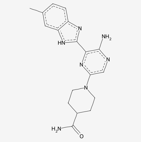 Cc1ccc2nc(-c3nc(N4CCC(C(N)=O)CC4)cnc3N)[nH]c2c1